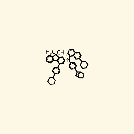 CC1(C)c2ccccc2-c2c(-c3ccc(C4CCCCC4)cc3)cc(N(c3ccc(C4CC5CCC4C5)cc3)c3cccc4ccc(C5CCCCC5)cc34)cc21